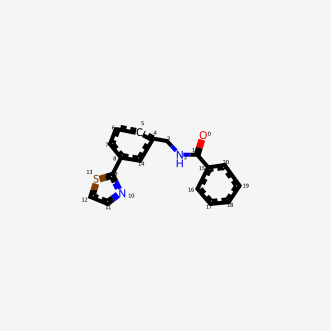 O=C(NCc1cccc(-c2nccs2)c1)c1ccccc1